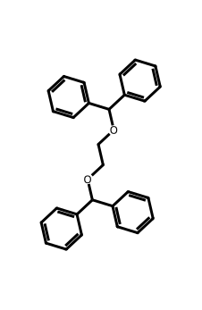 c1ccc(C(OCCOC(c2ccccc2)c2ccccc2)c2ccccc2)cc1